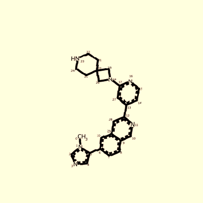 Cn1cncc1-c1ccc2cnc(-c3ccnc(N4CC5(CCNCC5)C4)c3)cc2c1